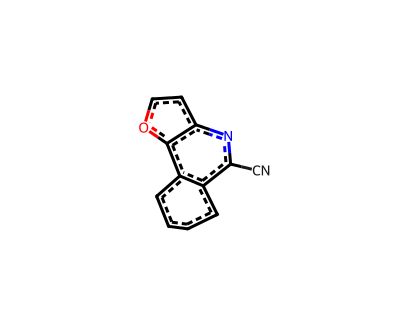 N#Cc1nc2ccoc2c2ccccc12